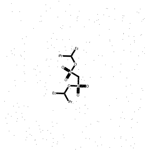 CCC(OS(=O)(=O)CS(=O)(=O)OC(CC)C(C)C)C(C)C